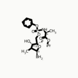 B[C@@H]1O[C@](F)(COP(=O)(N[C@@H](C)C(=O)OC(C)C)Oc2ccccc2)[C@@H](O)C1C